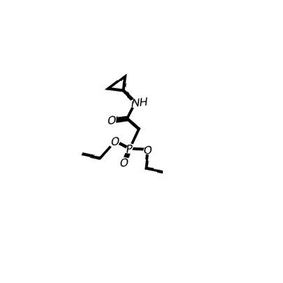 CCOP(=O)(CC(=O)NC1CC1)OCC